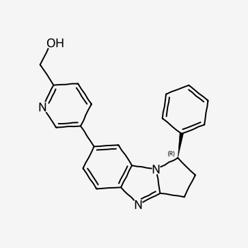 OCc1ccc(-c2ccc3nc4n(c3c2)[C@@H](c2ccccc2)CC4)cn1